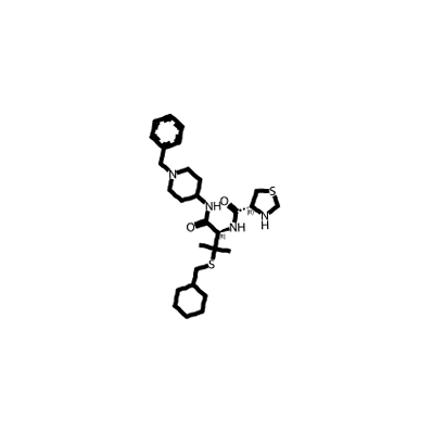 CC(C)(SCC1CCCCC1)[C@H](NC(=O)[C@@H]1CSCN1)C(=O)NC1CCN(Cc2ccccc2)CC1